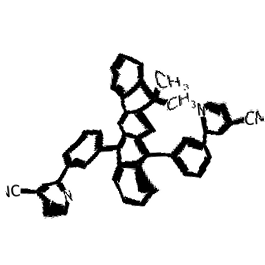 CC1(C)c2ccccc2-c2cc3c(-c4cccc(-c5cc(C#N)ccn5)c4)c4ccccc4c(-c4cccc(-c5cc(C#N)ccn5)c4)c3cc21